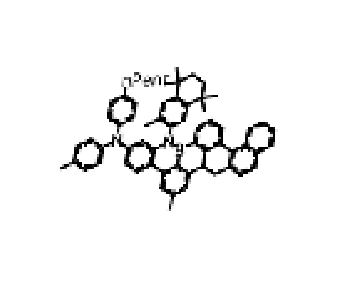 CCCCCc1ccc(N(c2ccc(C)cc2)c2ccc3c(c2)N(c2cc4c(cc2C)C(C)(C)CCC4(C)C)B2c4cccc5c4C(Cc4ccc6ccccc6c4-5)c4cc(C)cc-3c42)cc1